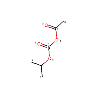 CC(=O)[O][Ti](=[O])[O]C(C)C